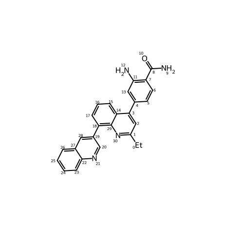 CCc1cc(-c2ccc(C(N)=O)c(N)c2)c2cccc(-c3cnc4ccccc4c3)c2n1